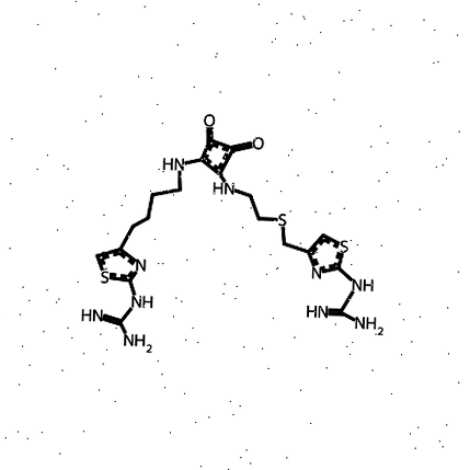 N=C(N)Nc1nc(CCCCNc2c(NCCSCc3csc(NC(=N)N)n3)c(=O)c2=O)cs1